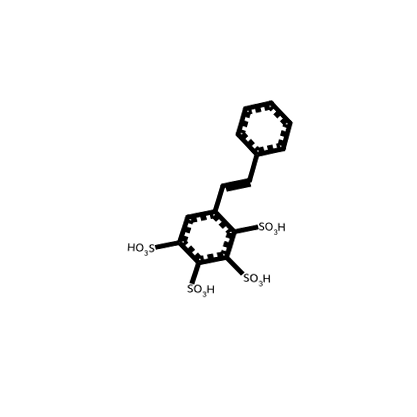 O=S(=O)(O)c1cc(C=Cc2ccccc2)c(S(=O)(=O)O)c(S(=O)(=O)O)c1S(=O)(=O)O